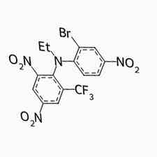 CCN(c1ccc([N+](=O)[O-])cc1Br)c1c([N+](=O)[O-])cc([N+](=O)[O-])cc1C(F)(F)F